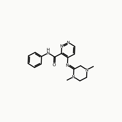 CN1CCN(C)C(=Nc2ccnnc2C(=O)Nc2ccccc2)C1